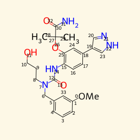 COc1cccc(CN(CCCO)C(=O)Nc2ccc(-c3cn[nH]c3)cc2OC(C)(C)C(N)=O)c1